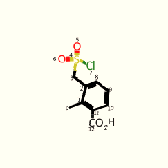 Cc1c(CS(=O)(=O)Cl)cccc1C(=O)O